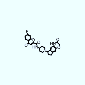 O=C1COc2cc3c(cc2N1)C(N1CCC(NC(=O)c2cc(=O)c4ccc(F)cc4o2)CC1)CC3